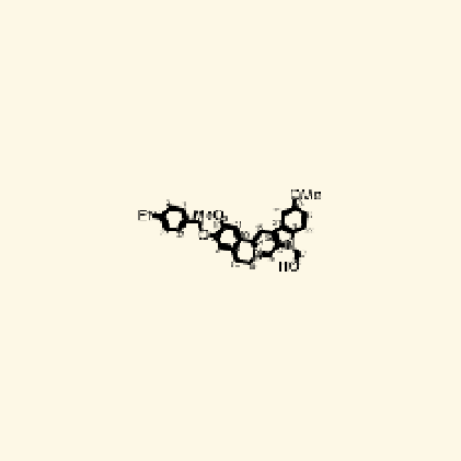 CCc1ccc(COc2cc3c(cc2OC)C2Cc4c(n(CO)c5ccc(OC)cc45)CN2CC3)cc1